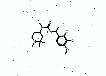 COc1ccc(C(C)NC(=O)N(C)C2CCN(C)C(C)(C)C2)c(Cl)c1Cl